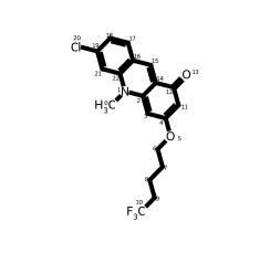 Cn1c2cc(OCCCCC(F)(F)F)cc(=O)c-2cc2ccc(Cl)cc21